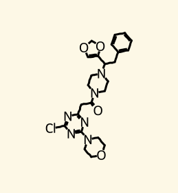 O=C(Cc1nc(Cl)nc(N2CCOCC2)n1)N1CCN(C(Cc2ccccc2)C2=COCO2)CC1